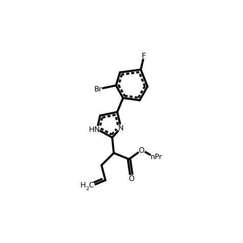 C=CCC(C(=O)OCCC)c1nc(-c2ccc(F)cc2Br)c[nH]1